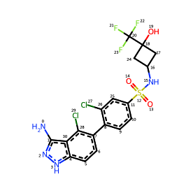 Nc1n[nH]c2ccc(-c3ccc(S(=O)(=O)NC4CC(O)(C(F)(F)F)C4)cc3Cl)c(Cl)c12